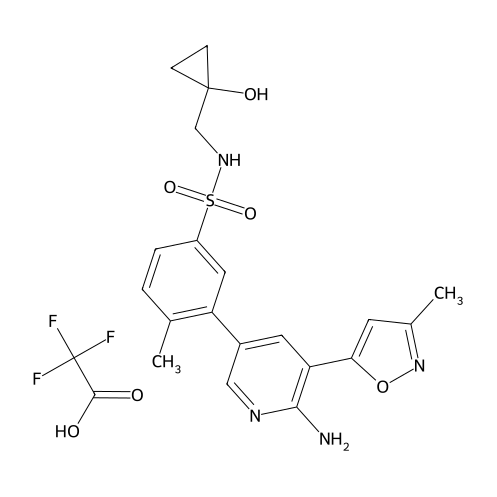 Cc1cc(-c2cc(-c3cc(S(=O)(=O)NCC4(O)CC4)ccc3C)cnc2N)on1.O=C(O)C(F)(F)F